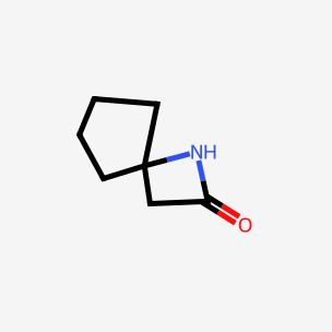 O=C1CC2(CCCC2)N1